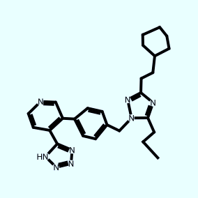 CCCc1nc(CCC2CCCCC2)nn1Cc1ccc(-c2cnccc2-c2nnn[nH]2)cc1